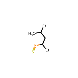 CCC(C)CC(CC)P=S